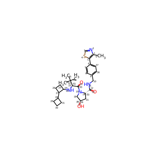 Cc1ncsc1-c1ccc(CNC(=O)[C@@H]2C[C@@H](O)CN2C(=O)[C@@H](NC2CCC2C2CCC2)C(C)(C)C)cc1